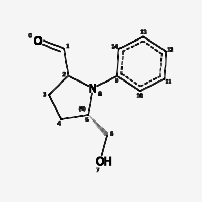 O=CC1CC[C@@H](CO)N1c1ccccc1